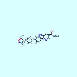 COC(=O)c1cnc2c(c1)[nH]c1cc(-c3ccc(-c4c(C)noc4C)cc3)ccc12